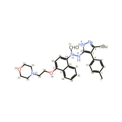 Cc1ccc(-c2c(C(C)(C)C)n[nH]c2NN(C=O)c2ccc(OCCN3CCOCC3)c3ccccc23)cc1